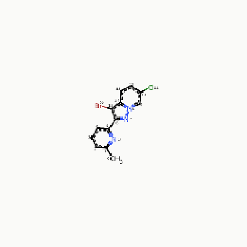 Cc1cccc(-c2nn3cc(Cl)ccc3c2Br)n1